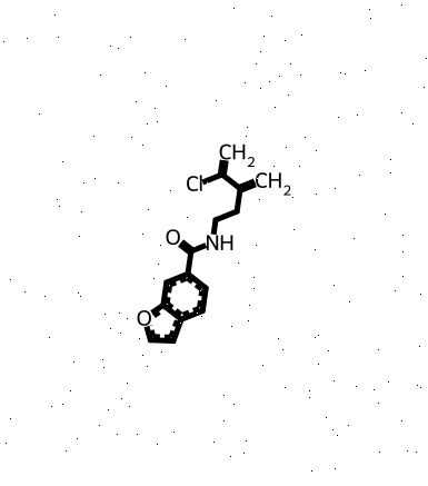 C=C(Cl)C(=C)CCNC(=O)c1ccc2ccoc2c1